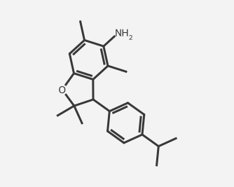 Cc1cc2c(c(C)c1N)C(c1ccc(C(C)C)cc1)C(C)(C)O2